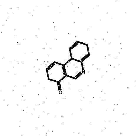 O=C1CC=CC2=C1C=NC1=CCC=CC12